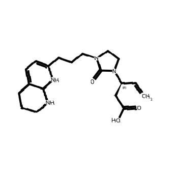 C=C[C@@H](CC(=O)O)N1CCN(CCCC2=CC=C3CCCNC3N2)C1=O